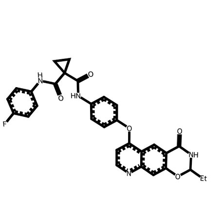 CCC1NC(=O)c2cc3c(Oc4ccc(NC(=O)C5(C(=O)Nc6ccc(F)cc6)CC5)cc4)ccnc3cc2O1